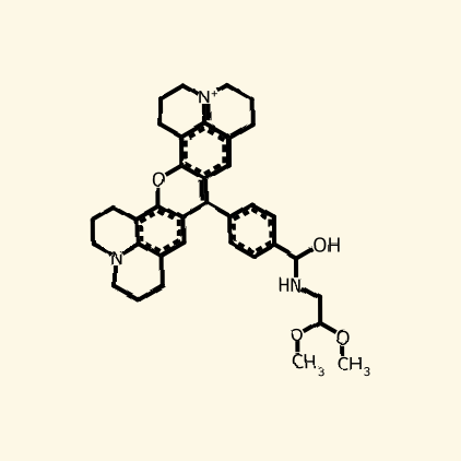 COC(CNC(O)c1ccc(C2=c3cc4c5c(c3Oc3c2cc2c6c3CCCN6CCC2)CCC[N+]=5CCC4)cc1)OC